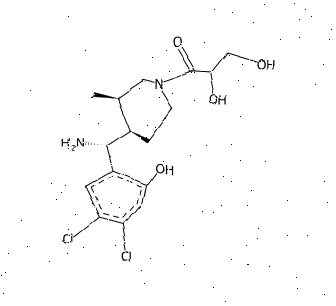 C[C@H]1CN(C(=O)C(O)CO)CC[C@H]1[C@@H](N)c1cc(Cl)c(Cl)cc1O